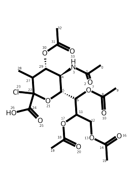 CC(=O)N[C@H]1[C@H](C(OC(C)=O)C(COC(C)=O)OC(C)=O)OC(Cl)(C(=O)O)C(C)[C@@H]1OC(C)=O